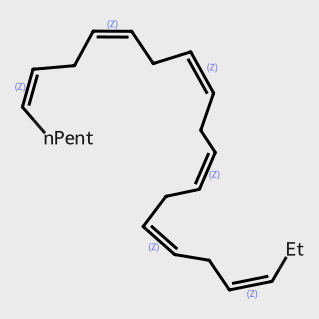 [CH2]CCCC/C=C\C/C=C\C/C=C\C/C=C\C/C=C\C/C=C\CC